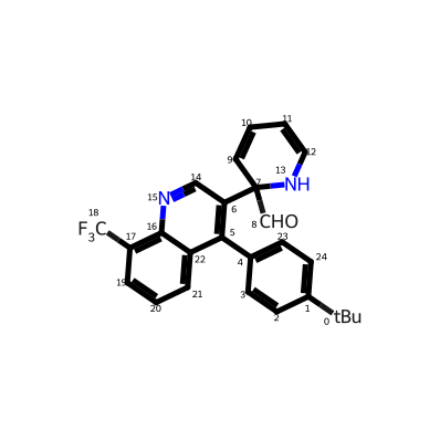 CC(C)(C)c1ccc(-c2c(C3(C=O)C=CC=CN3)cnc3c(C(F)(F)F)cccc23)cc1